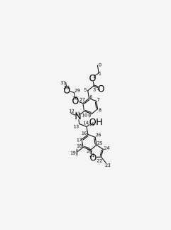 CCOC(=O)Cc1cccc(N(C)CC(O)c2cc(I)c3oc(C)cc3c2)c1OCOC